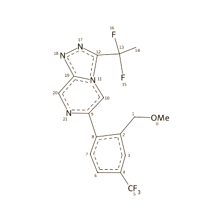 COCc1cc(C(F)(F)F)ccc1-c1cn2c(C(C)(F)F)nnc2cn1